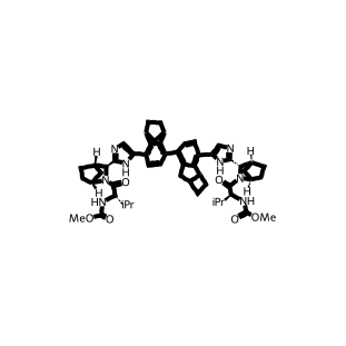 COC(=O)N[C@H](C(=O)N1[C@@H]2CC[C@@H](C2)[C@H]1c1ncc(-c2ccc(-c3ccc(-c4cnc([C@@H]5[C@H]6CC[C@H](C6)N5C(=O)[C@@H](NC(=O)OC)C(C)C)[nH]4)c4c3CC3CCC43)c3c2C2CCC3C2)[nH]1)C(C)C